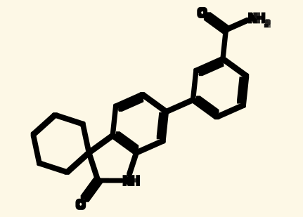 NC(=O)c1cccc(-c2ccc3c(c2)NC(=O)C32CCCCC2)c1